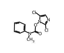 CN(C(=O)On1c(Cl)cnc1Cl)c1ccccc1